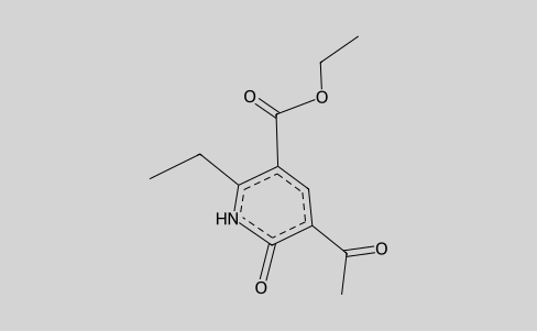 CCOC(=O)c1cc(C(C)=O)c(=O)[nH]c1CC